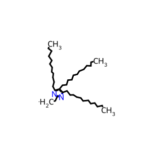 [CH2]Cc1nc(CCCCCCCCCCCC)c(CCCCCCCCCCCC)c(CCCCCCCCCCCC)n1